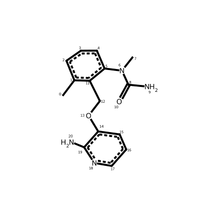 Cc1cccc(N(C)C(N)=O)c1COc1cccnc1N